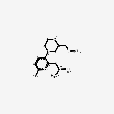 COCC1CN(c2ccc(Cl)nc2CN(C)C)CCO1